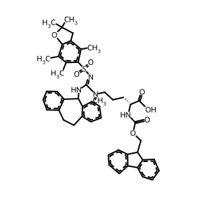 Cc1c(C)c(S(=O)(=O)/N=C(\NC2c3ccccc3CCc3ccccc32)N(C)CCC[C@@H](NC(=O)OCC2c3ccccc3-c3ccccc32)C(=O)O)c(C)c2c1OC(C)(C)C2